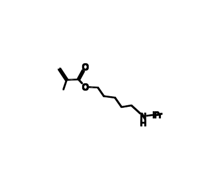 C=C(C)C(=O)OCCCCCNC(C)C